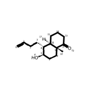 C=CCC[C@H]1[C@H](O)CC[C@@]2(C)C(=O)CCC[C@H]12